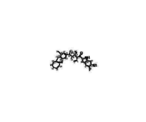 C=C/C(C(=O)c1cc2cc(F)c(CC)cc2[nH]1)=C(/N)C(C)C(C)c1ccc(CC2=C(F)C=CCC=C2)c(C)c1